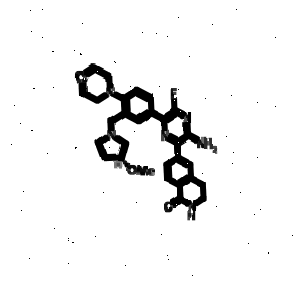 CO[C@@H]1CCN(Cc2cc(-c3nc(-c4ccc5c(c4)CCNC5=O)c(N)nc3F)ccc2N2CCOCC2)C1